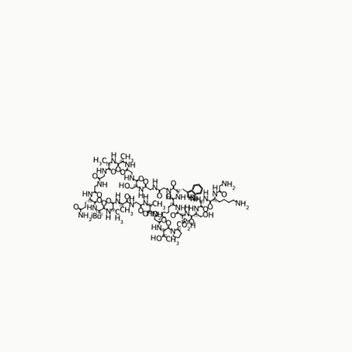 CC[C@H](C)[C@H](NC(=O)[C@H](CCC(N)=O)NC(=O)CNC(=O)CNC(=O)[C@H](C)NC(=O)[C@H](C)NC(=O)CNC(=O)[C@H](CO)NC(=O)CNC(=O)CNC(=O)[C@H](Cc1c[nH]c2ccccc12)NC(=O)[C@H](CCC(=O)O)NC(=O)[C@@H](NC(=O)[C@H](CO)NC(=O)[C@@H](NC(=O)[C@H](CCCCN)NC(=O)CN)[C@@H](C)CC)C(C)C)C(=O)N[C@@H](C)C(=O)N[C@@H](C)C(=O)NCC(=O)N[C@@H](C)C(=O)NCC(=O)N[C@H](C(=O)N1CCC[C@H]1C(=O)O)[C@@H](C)O